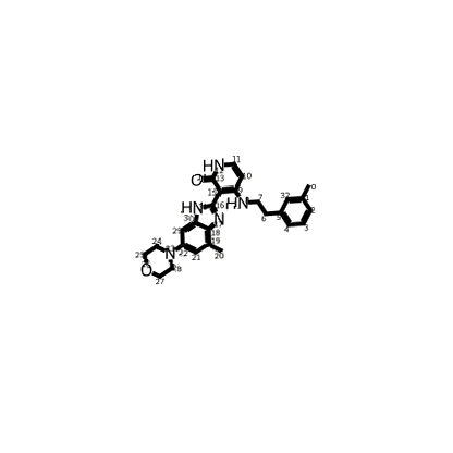 Cc1cccc(CCNc2cc[nH]c(=O)c2-c2nc3c(C)cc(N4CCOCC4)cc3[nH]2)c1